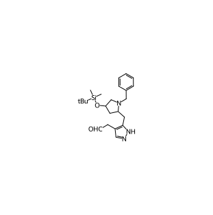 CC(C)(C)[Si](C)(C)OC1CC(Cc2[nH]ncc2CC=O)N(Cc2ccccc2)C1